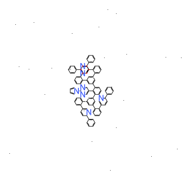 c1ccc(-c2ccc(-c3ccccc3-c3cc(-c4ccccc4-c4ccc(-c5ccccc5)nc4)cc(-c4cccc(-c5cc(-c6ccccc6-c6ccc(-c7ccccc7)nc6)cc(-c6ccccc6-c6ccc(-c7ccccc7)nc6)c5)c4-c4cnc(-n5cccc5)nc4)c3)cn2)cc1